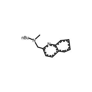 CCCCN(C)Cc1ccc2ccccc2n1